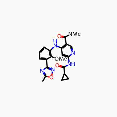 CNC(=O)c1cnc(NC(=O)C2CC2)cc1Nc1cccc(-c2noc(C)n2)c1OC